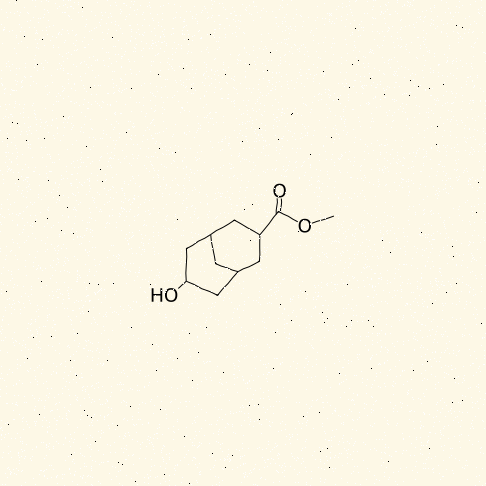 COC(=O)C1CC2CC(O)CC(C2)C1